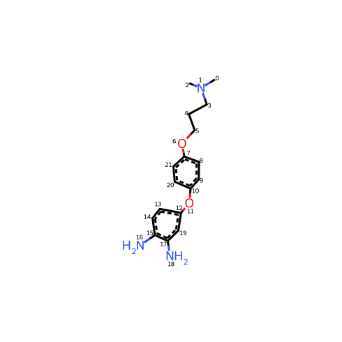 CN(C)CCCOc1ccc(Oc2ccc(N)c(N)c2)cc1